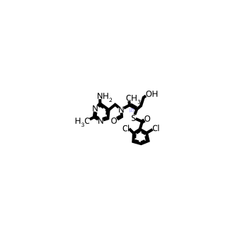 C/C(=C(\CCO)SC(=O)c1c(Cl)cccc1Cl)N(C=O)Cc1cnc(C)nc1N